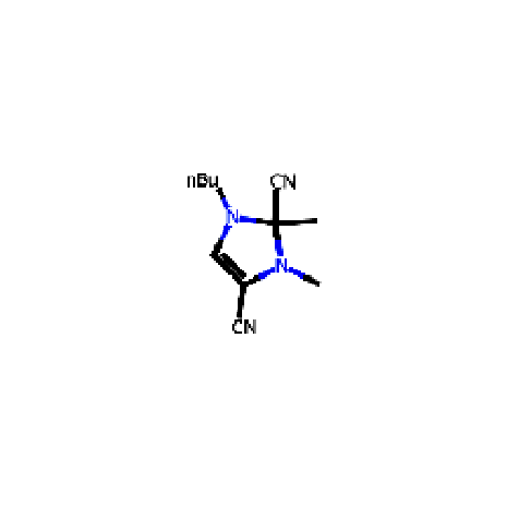 CCCCN1C=C(C#N)N(C)C1(C)C#N